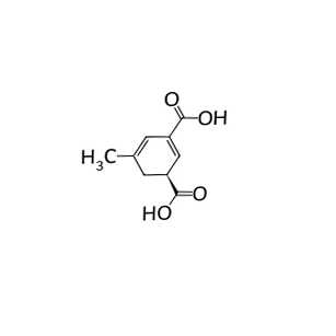 CC1=CC(C(=O)O)=C[C@@H](C(=O)O)C1